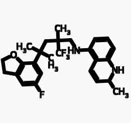 CC1C=Cc2c(NCC(C)(CC(C)(C)c3cc(F)cc4c3OCC4)C(F)(F)F)cccc2N1